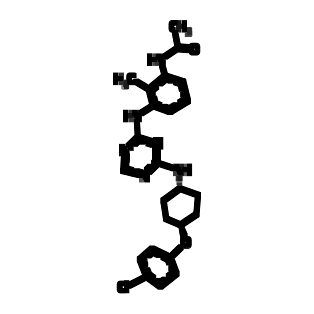 CC(=O)Nc1cccc(Nc2ncnc(N[C@H]3CC[C@H](Oc4ccc(Cl)cc4)CC3)n2)c1C